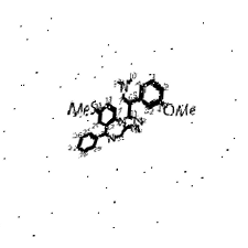 COc1cccc(C(CN(C)C)c2nnc3n2-c2ccc(SC)cc2C(c2ccccc2)=NC3)c1